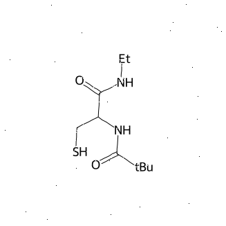 CCNC(=O)C(CS)NC(=O)C(C)(C)C